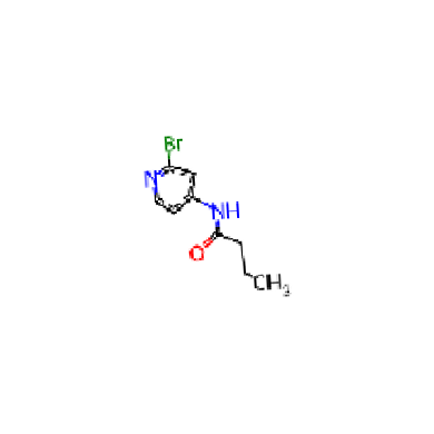 CCCC(=O)Nc1ccnc(Br)c1